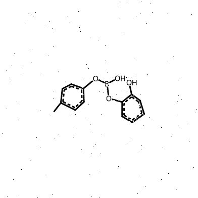 Cc1ccc(OB(O)Oc2ccccc2O)cc1